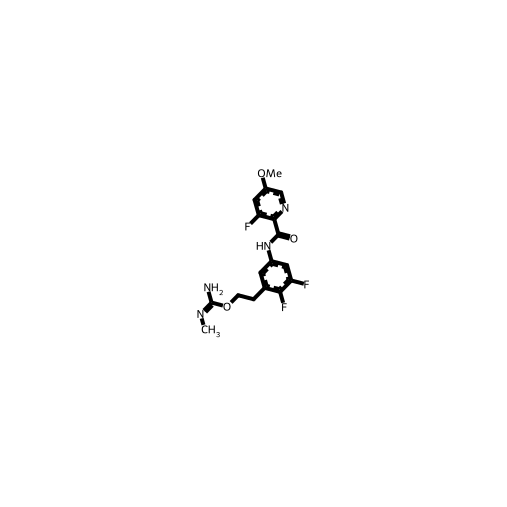 C/N=C(/N)OCCc1cc(NC(=O)c2ncc(OC)cc2F)cc(F)c1F